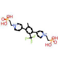 Cc1cc(-c2cc[n+](CCP(=O)(O)O)cc2)c(C(F)(F)F)cc1-c1cc[n+](CCP(=O)(O)O)cc1